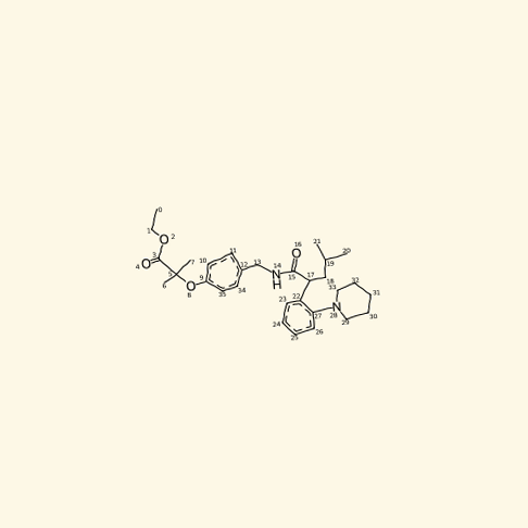 CCOC(=O)C(C)(C)Oc1ccc(CNC(=O)C(CC(C)C)c2ccccc2N2CCCCC2)cc1